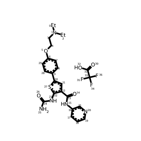 CCN(CC)CCOc1ccc(-c2cc(C(=O)Nc3cccnc3)c(NC(N)=O)s2)cc1.O=C(O)C(F)(F)F